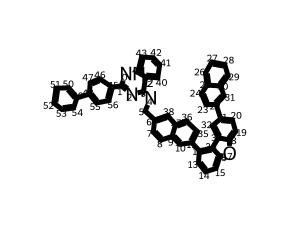 N/C(=N\C(=N/Cc1ccc2cc(-c3cccc4oc5ccc(-c6ccc7ccccc7c6)cc5c34)ccc2c1)c1ccccc1)c1ccc(-c2ccccc2)cc1